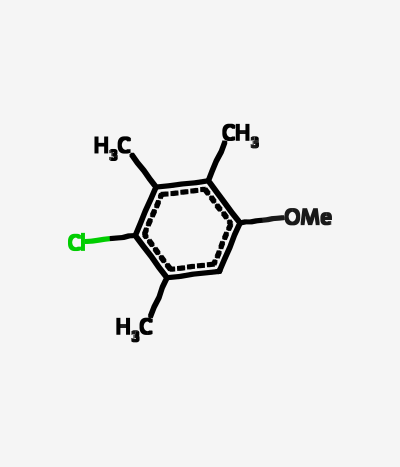 COc1cc(C)c(Cl)c(C)c1C